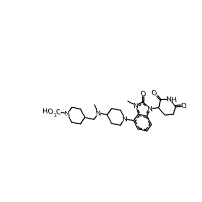 CN(CC1CCN(C(=O)O)CC1)C1CCN(c2cccc3c2n(C)c(=O)n3C2CCC(=O)NC2=O)CC1